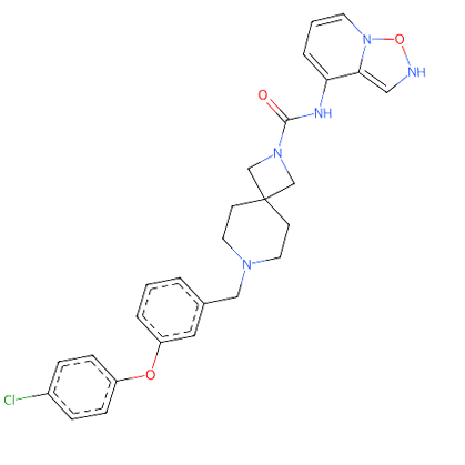 O=C(NC1=CC=CN2ONC=C12)N1CC2(CCN(Cc3cccc(Oc4ccc(Cl)cc4)c3)CC2)C1